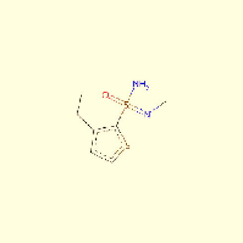 CCc1ccsc1S(N)(=O)=NC